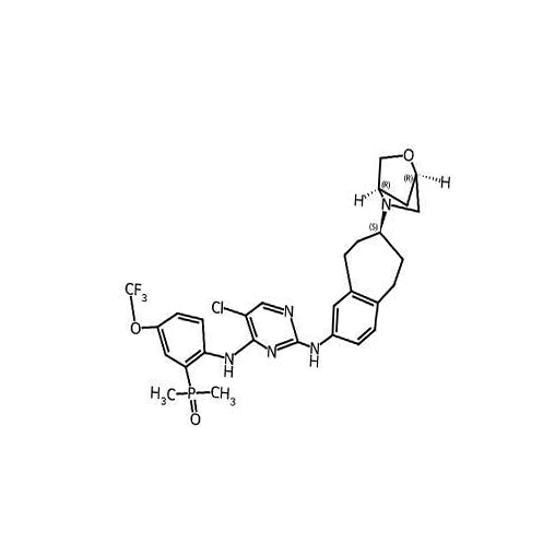 CP(C)(=O)c1cc(OC(F)(F)F)ccc1Nc1nc(Nc2ccc3c(c2)CC[C@@H](N2C[C@H]4C[C@@H]2CO4)CC3)ncc1Cl